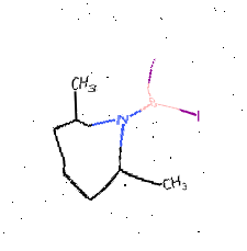 CC1CCCC(C)N1B(I)I